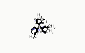 C=C/C=C(\C=C/C)N(C(/C=C\C)=C/C)C(/C=C\C)=C/C=C